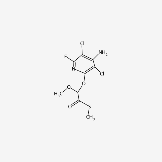 COC(Oc1nc(F)c(Cl)c(N)c1Cl)C(=O)SC